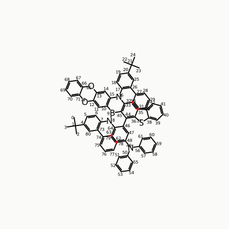 CC(C)(C)c1ccc(N2B3c4cc5c(cc4N(c4ccc(C(C)(C)C)cc4-c4ccccc4)c4cc6c(sc7ccccc76)c(c43)-c3cc(N(c4ccccc4)c4ccccc4)ccc32)Oc2ccccc2O5)c(-c2ccccc2)c1